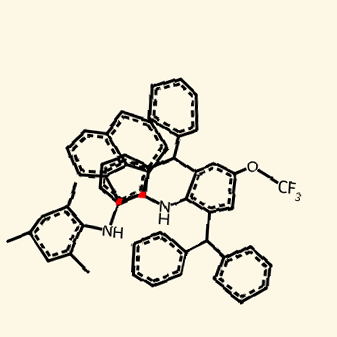 Cc1cc(C)c(NC2c3cccc4cccc(c34)C2Nc2c(C(c3ccccc3)c3ccccc3)cc(OC(F)(F)F)cc2C(c2ccccc2)c2ccccc2)c(C)c1